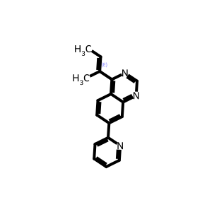 C/C=C(\C)c1ncnc2cc(-c3ccccn3)ccc12